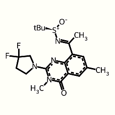 CC(=N[S@+]([O-])C(C)(C)C)c1cc(C)cc2c(=O)n(C)c(N3CCC(F)(F)C3)nc12